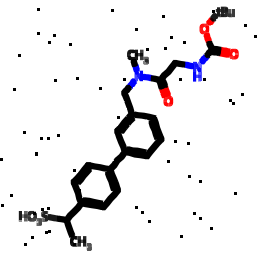 CC(c1ccc(-c2cccc(CN(C)C(=O)CNC(=O)OC(C)(C)C)c2)cc1)S(=O)(=O)O